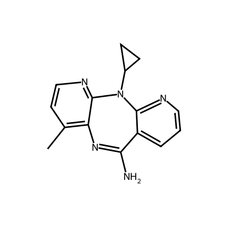 Cc1ccnc2c1N=C(N)c1cccnc1N2C1CC1